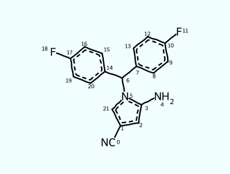 N#Cc1cc(N)n(C(c2ccc(F)cc2)c2ccc(F)cc2)c1